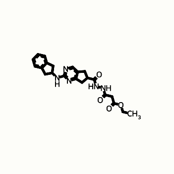 CCOC(=O)CC(=O)NNC(=O)C1Cc2cnc(NC3Cc4ccccc4C3)nc2C1